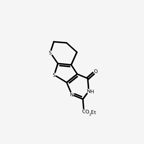 CCOC(=O)c1nc2sc3c(c2c(=O)[nH]1)CCCS3